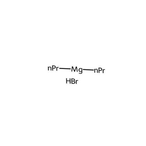 Br.CC[CH2][Mg][CH2]CC